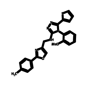 COc1ccccc1-n1c(NCc2coc(-c3ccc(C)cc3)n2)nnc1-c1cccs1